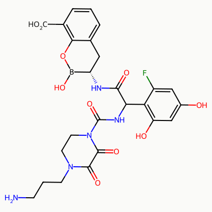 NCCCN1CCN(C(=O)NC(C(=O)N[C@H]2Cc3cccc(C(=O)O)c3OB2O)c2c(O)cc(O)cc2F)C(=O)C1=O